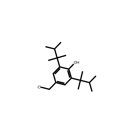 CC(C)C(C)(C)c1cc(CCl)cc(C(C)(C)C(C)C)c1O